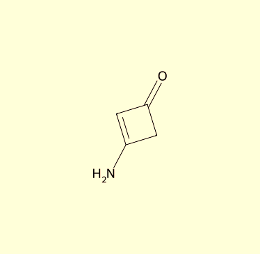 NC1=CC(=O)C1